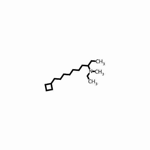 CCC(CCCCCCCC1CCC1)N(C)CC